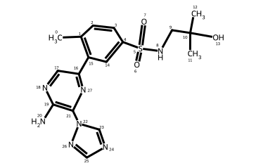 Cc1ccc(S(=O)(=O)NCC(C)(C)O)cc1-c1cnc(N)c(-n2cncn2)n1